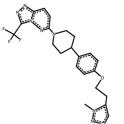 Cn1nccc1CCOc1ccc(C2CCN(c3ccc4nnc(C(F)(F)F)n4n3)CC2)cc1